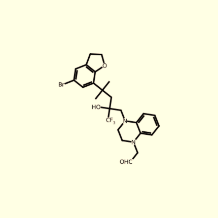 CC(C)(CC(O)(CN1CCN(CC=O)c2ccccc21)C(F)(F)F)c1cc(Br)cc2c1OCC2